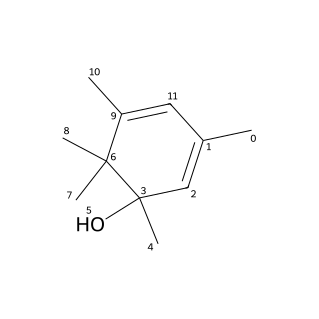 CC1=CC(C)(O)C(C)(C)C(C)=C1